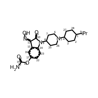 CC(C)C1CCC(N2CCC(N3C(=O)C(=NO)c4cc(OC(N)=O)ccc43)CC2)CC1